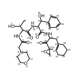 CC(O)C(NC(=O)CN1CCOCC1)C(=O)NC(C(=O)NC(CC1=CCCCC1)C(=O)C1(C)CO1)C(O)c1ccccc1